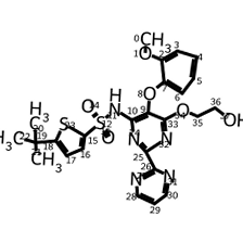 COc1ccccc1Oc1c(NS(=O)(=O)c2ccc(C(C)(C)C)s2)nc(-c2ncccn2)nc1OCCO